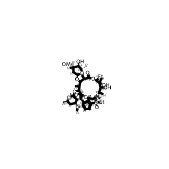 CCC1OC(=O)C(C)C(O[C@H]2C[C@@](C)(OC)[C@@H](O)[C@H](C)O2)C(C)C(O[C@@H]2O[C@H](C)C[C@H](N(C)C)[C@H]2Oc2cccc(S(=O)(=O)CC)c2)C(C)(O)CC(C)CN(C)C(C)C(O)C1(C)O